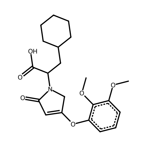 COc1cccc(OC2=CC(=O)N(C(CC3CCCCC3)C(=O)O)C2)c1OC